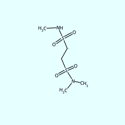 CNS(=O)(=O)[CH]CS(=O)(=O)N(C)C